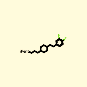 CCCC(C)CCCC1CCC(CCc2ccc(F)c(F)c2)CC1